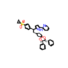 O=S(=O)(c1ccc(C(C[C@H]2CCC3(C2)O[C@H](c2ccccc2)[C@@H](c2ccccc2)O3)c2ccc(-c3ccccn3)[nH]2)cc1)C1CC1